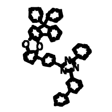 c1ccc(-c2cccc(-c3nc(-c4ccccc4)nc(-c4ccc(-c5cccc6c5Oc5c(ccc7c5-c5ccccc5C7(c5ccccc5)c5ccccc5)O6)cc4)n3)c2)cc1